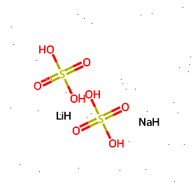 O=S(=O)(O)O.O=S(=O)(O)O.[LiH].[NaH]